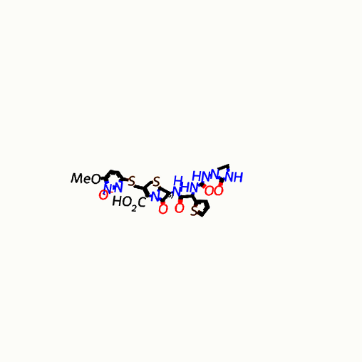 COc1ccc(SCC2=C(C(=O)O)N3C(=O)[C@H](NC(=O)C(NC(=O)NN4CCNC4=O)c4cccs4)C3SC2)n[n+]1[O-]